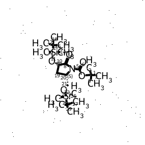 CC(C)(C)OC(=O)N1C(=O)[C@H](O[Si](C)(C)C(C)(C)C)C[C@H]1CO[Si](C)(C)C(C)(C)C